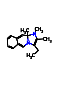 CCC1=C(C)N(C)C2(C)C=c3ccccc3=CN12